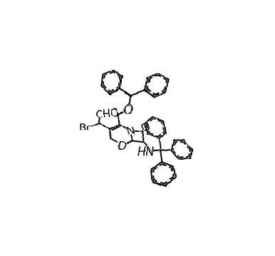 O=CC(Br)C1=C(COC(c2ccccc2)c2ccccc2)N2C(=O)C(NC(c3ccccc3)(c3ccccc3)c3ccccc3)C2OC1